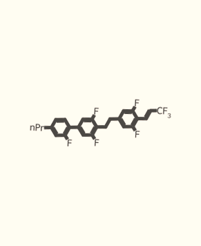 CCCc1ccc(-c2cc(F)c(CCc3cc(F)c(/C=C/C(F)(F)F)c(F)c3)c(F)c2)c(F)c1